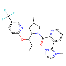 CCC(Oc1ccc(C(F)(F)F)cn1)C1CC(C)CN1C(=O)c1ncccc1-c1nccn1C